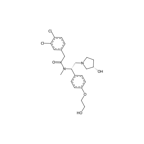 CN(C(=O)Cc1ccc(Cl)c(Cl)c1)[C@H](CN1CC[C@H](O)C1)c1ccc(OCCO)cc1